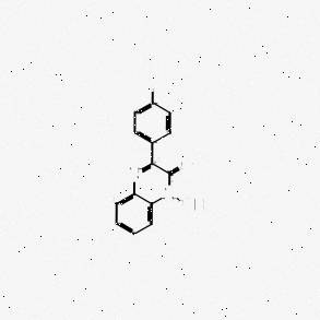 Cn1c(=O)c(-c2ccc(Cl)cc2)nc2ccccc21